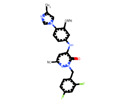 COc1cc(Nc2cc(C#N)nn(Cc3ccc(F)cc3F)c2=O)ccc1-n1cnc(C)c1